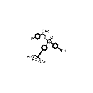 C#Cc1ccc(N2C(=O)[C@H](CC[C@H](OC(C)=O)c3ccc(F)cc3)[C@H]2c2ccc(C#CC(O)(COC(C)=O)COC(C)=O)cc2)cc1